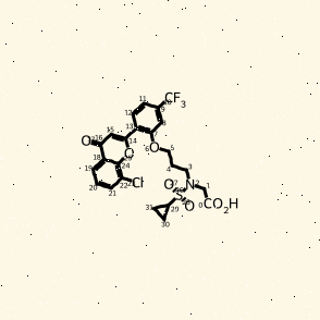 O=C(O)CN(CCCOc1cc(C(F)(F)F)ccc1-c1cc(=O)c2cccc(Cl)c2o1)S(=O)(=O)C1CC1